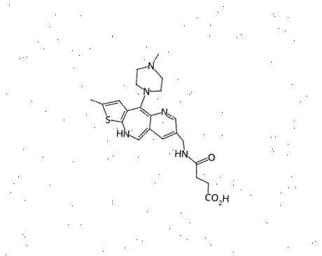 Cc1cc2c(s1)NC=c1cc(CNC(=O)CCC(=O)O)cnc1=C2N1CCN(C)CC1